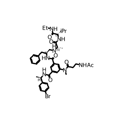 CCNC(=O)[C@@H](NC(=O)[C@H](C)NC[C@H](Cc1ccccc1)NC(=O)c1cc(C(=O)N[C@H](C)c2ccc(Br)cc2)cc(N(C)C(=O)CCNC(C)=O)c1)C(C)C